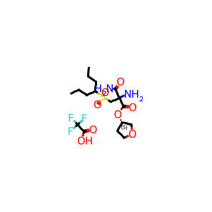 CCCC(CCC)S(=O)(=O)CC(N)(C(N)=O)C(=O)O[C@H]1CCOC1.O=C(O)C(F)(F)F